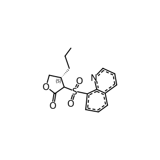 CCC[C@H]1COC(=O)C1S(=O)(=O)c1cccc2cccnc12